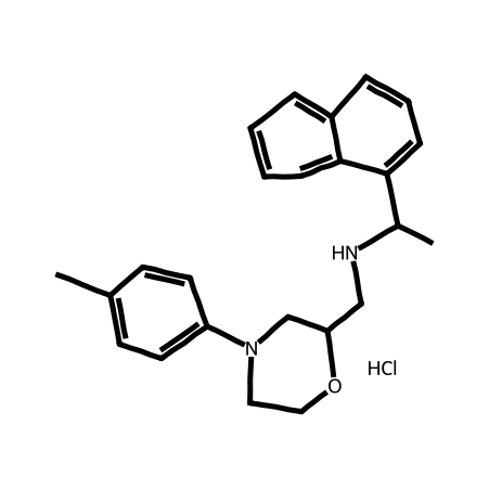 Cc1ccc(N2CCOC(CNC(C)c3cccc4ccccc34)C2)cc1.Cl